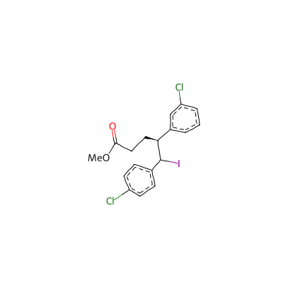 COC(=O)CC[C@@H](c1cccc(Cl)c1)C(I)c1ccc(Cl)cc1